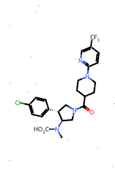 CN(C(=O)O)[C@@H]1CN(C(=O)C2CCN(c3ccc(C(F)(F)F)cn3)CC2)C[C@H]1c1ccc(Cl)cc1